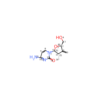 C=C1[C@H](CO)O[C@H](n2ccc(N)nc2=O)[C@H]1C